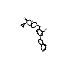 O=C1COC2(CCN(Cc3ccc(-c4ccc5cnccc5c4)cc3F)CC2)CN1C1CC1